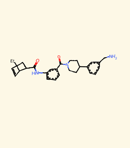 CCC12C=CC1C(C(=O)Nc1cccc(C(=O)N3CCC(c4cccc(CN)c4)CC3)c1)C2